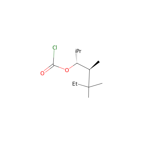 CCC(C)(C)[C@H](C)[C@H](OC(=O)Cl)C(C)C